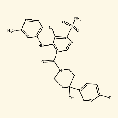 Cc1cccc(Nc2c(C(=O)N3CCC(O)(c4ccc(F)cc4)CC3)cnc(S(N)(=O)=O)c2Cl)c1